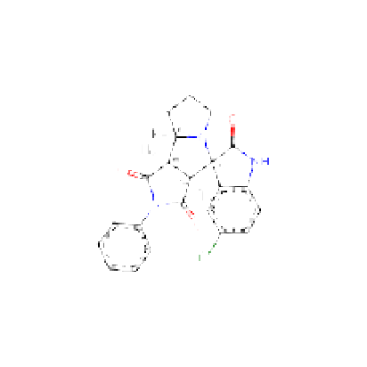 O=C1[C@H]2[C@H]3CCCN3[C@]3(C(=O)Nc4ccc(Cl)cc43)[C@H]2C(=O)N1c1ccccc1